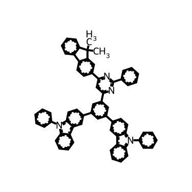 CC1(C)c2ccccc2-c2ccc(-c3cc(-c4cc(-c5ccc6c(c5)c5ccccc5n6-c5ccccc5)cc(-c5ccc6c(c5)c5ccccc5n6-c5ccccc5)c4)nc(-c4ccccc4)n3)cc21